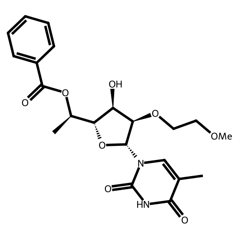 COCCO[C@@H]1[C@H](O)[C@@H]([C@@H](C)OC(=O)c2ccccc2)O[C@H]1n1cc(C)c(=O)[nH]c1=O